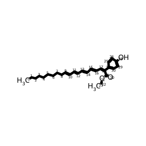 CCCCCCCCCC=CC=CC=CC=CC=C(C(=O)OCC)c1ccc(O)cc1